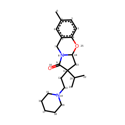 Cc1ccc2c(c1)CN1C(=O)C(CCN3CCCCC3)(C(C)C)CC1O2